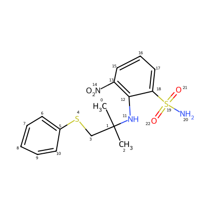 CC(C)(CSc1ccccc1)Nc1c([N+](=O)[O-])cccc1S(N)(=O)=O